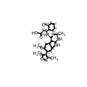 COc1cc2c3c([nH]c2cc1-c1c(C)noc1C)NC(C)N=C3NC(CC(=O)O)c1ccccc1Cl